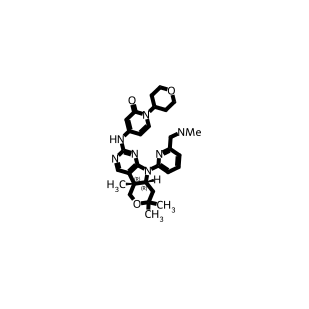 CNCc1cccc(N2c3nc(Nc4ccn(C5CCOCC5)c(=O)c4)ncc3[C@@]3(C)COC(C)(C)C[C@@H]23)n1